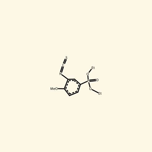 CCOP(=O)(OCC)c1ccc(OC)c(N=C=S)c1